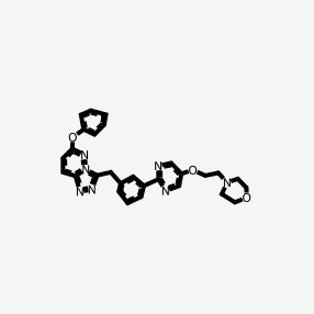 c1ccc(Oc2ccc3nnc(Cc4cccc(-c5ncc(OCCN6CCOCC6)cn5)c4)n3n2)cc1